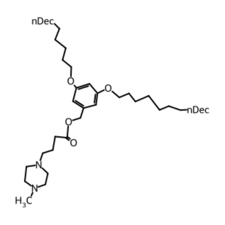 CCCCCCCCCCCCCCCCCOc1cc(COC(=O)CCCN2CCN(C)CC2)cc(OCCCCCCCCCCCCCCC)c1